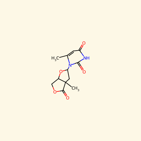 Cc1cc(=O)[nH]c(=O)n1C1CC2(C)C(=O)OCC2O1